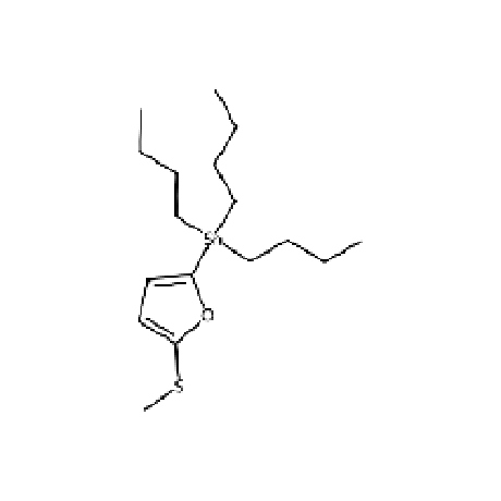 CCC[CH2][Sn]([CH2]CCC)([CH2]CCC)[c]1ccc(SC)o1